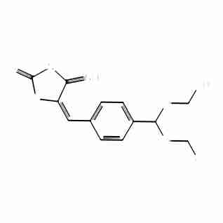 CCOC(OCC)c1ccc(C=C2SC(=O)NC2=N)cc1